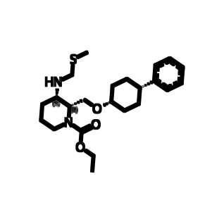 CCOC(=O)N1CCC[C@H](NCSC)[C@@H]1CO[C@H]1CC[C@@H](c2ccccc2)CC1